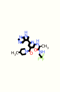 CC1CCN(C(=O)c2cc(N[C@@H](C)C(=O)NCC(F)(F)F)nc(-c3c[nH]c4ncncc34)c2)CC1